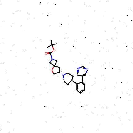 CC(C)(C)OC(=O)N1CC2(C[C@H](N3CCC(c4ccccc4-c4cncnc4)CC3)CO2)C1